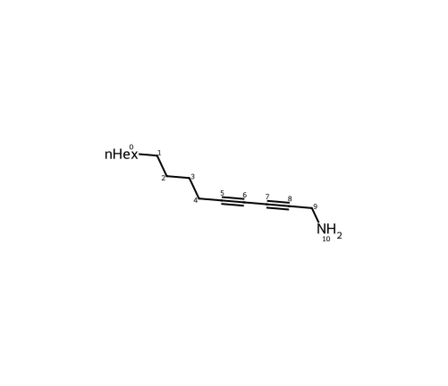 CCCCCCCCCCC#CC#CCN